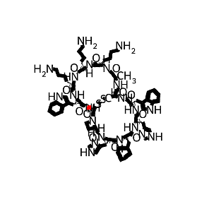 C[C@@H]1NC(=O)[C@@H]2CSS[C@H](NC(=O)[C@H](Cc3c[nH]c4ccccc34)NC(=O)[C@H](CCCCN)NC(=O)[C@H](CCCCN)NC(=O)[C@H](CCCCN)NC1=O)C(=O)N1CC[C@H]1C(=O)N[C@@H](Cc1c[nH]cn1)C(=O)N[C@H](Cc1ccccc1)C(=O)N[C@@H](Cc1c[nH]cn1)C(=O)N[C@@H](Cc1c[nH]c3ccccc13)C(=O)N2